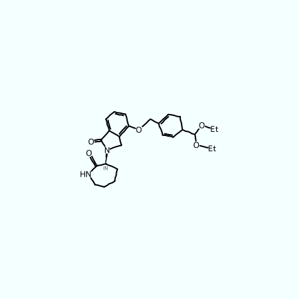 CCOC(OCC)C1C=CC(COc2cccc3c2CN([C@H]2CCCCNC2=O)C3=O)=CC1